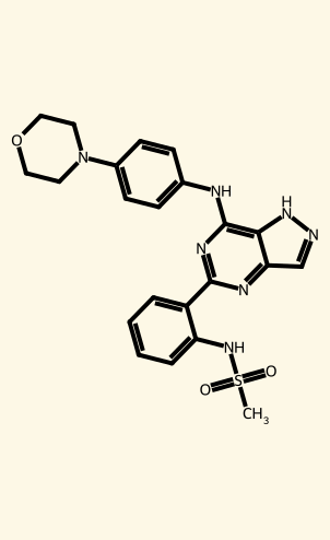 CS(=O)(=O)Nc1ccccc1-c1nc(Nc2ccc(N3CCOCC3)cc2)c2[nH]ncc2n1